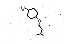 NC1CCC(OCCC(F)F)CC1